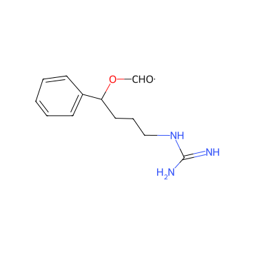 N=C(N)NCCCC(O[C]=O)c1ccccc1